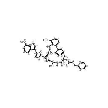 Bc1cccc2c1NC1Oc3ccc(cc3-2)C[C@H](NC(=O)OCc2ccccc2)C(=O)NC(C(C)C)c2nc(-c3ncc(-c4cn(C)c5c(OC(C)=O)cccc45)o3)c1o2